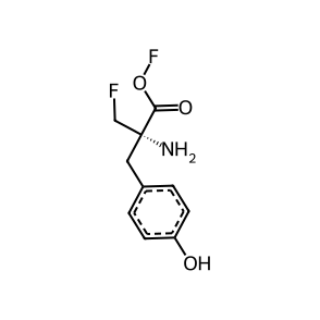 N[C@@](CF)(Cc1ccc(O)cc1)C(=O)OF